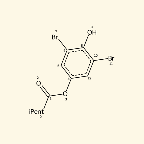 CCCC(C)C(=O)Oc1cc(Br)c(O)c(Br)c1